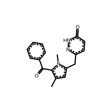 Cc1cc(Cc2ccc(=O)[nH]n2)n(C)c1C(=O)c1ccccc1